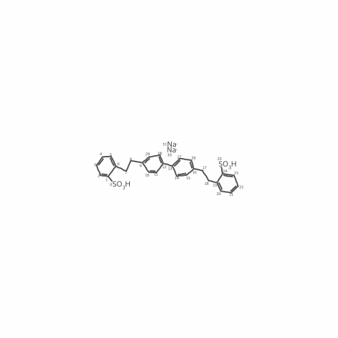 O=S(=O)(O)c1ccccc1CCc1ccc(-c2ccc(CCc3ccccc3S(=O)(=O)O)cc2)cc1.[Na].[Na]